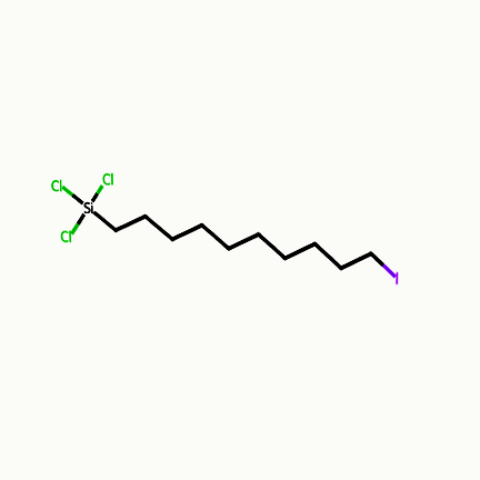 Cl[Si](Cl)(Cl)CCCCCCCCCCI